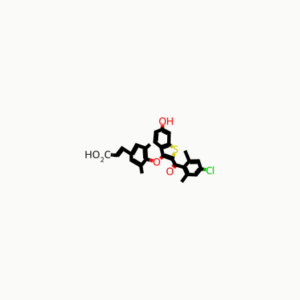 Cc1cc(/C=C/C(=O)O)cc(C)c1Oc1c(C(=O)c2c(C)cc(Cl)cc2C)sc2cc(O)ccc12